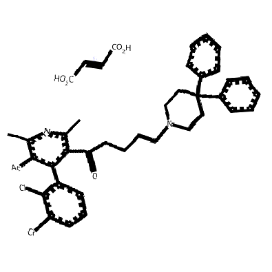 CC(=O)c1c(C)nc(C)c(C(=O)CCCCN2CCC(c3ccccc3)(c3ccccc3)CC2)c1-c1cccc(Cl)c1Cl.O=C(O)/C=C/C(=O)O